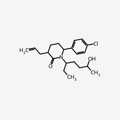 C=CCC1CCC(c2ccc(Cl)cc2)N(C(CC)CCC(C)O)C1=O